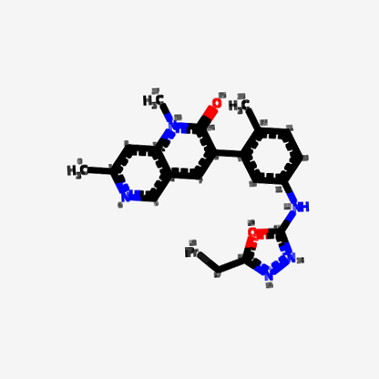 Cc1cc2c(cn1)cc(-c1cc(Nc3nnc(CC(C)C)o3)ccc1C)c(=O)n2C